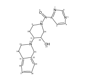 O=C(c1ccncn1)N1CCC(N2CCc3ccccc3C2)C(O)C1